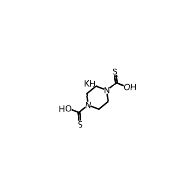 OC(=S)N1CCN(C(O)=S)CC1.[KH]